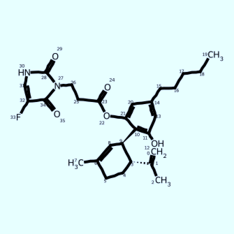 C=C(C)[C@@H]1CCC(C)=C[C@H]1c1c(O)cc(CCCCC)cc1OC(=O)CCn1c(=O)[nH]cc(F)c1=O